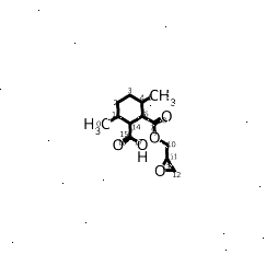 CC1CCC(C)C(C(=O)OCC2CO2)C1C(=O)O